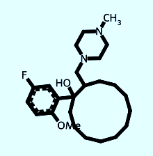 COc1ccc(F)cc1C1(O)CCCCCCCCCCC1CN1CCN(C)CC1